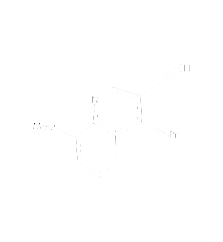 C#Cc1cnc2c(OC)cccc2c1C(C)C